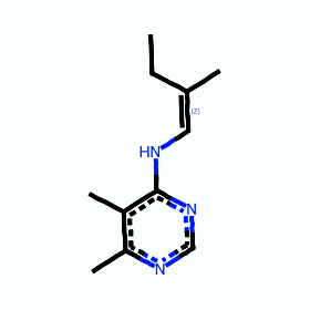 CC/C(C)=C\Nc1ncnc(C)c1C